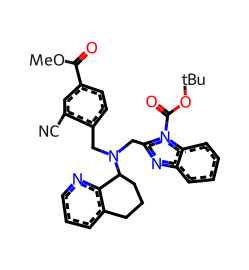 COC(=O)c1ccc(CN(Cc2nc3ccccc3n2C(=O)OC(C)(C)C)C2CCCc3cccnc32)c(C#N)c1